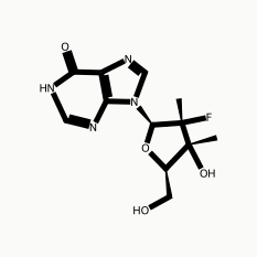 C[C@]1(F)[C@H](n2cnc3c(=O)[nH]cnc32)O[C@H](CO)[C@@]1(C)O